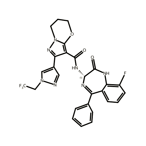 O=C(N[C@H]1N=C(c2ccccc2)c2cccc(F)c2NC1=O)c1c(-c2cnn(CC(F)(F)F)c2)nn2c1OCCC2